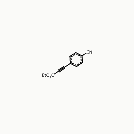 CCOC(=O)C#Cc1ccc(C#N)cc1